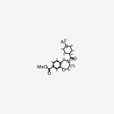 COC(=O)c1ccc2c(c1)OC[C@H](C)N(C(=O)C1CCN(C(C)=O)CC1)C2